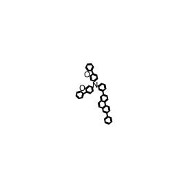 c1ccc(-c2ccc3c(ccc4cc(-c5cccc(N(c6ccc7c(c6)oc6ccccc67)c6ccc7c(c6)oc6ccccc67)c5)ccc43)c2)cc1